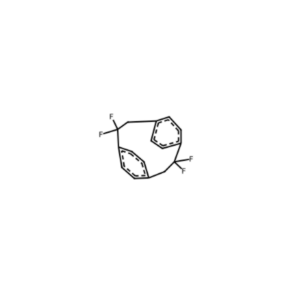 FC1(F)Cc2ccc(cc2)C(F)(F)Cc2ccc1cc2